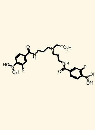 O=C(O)CN(CCCNC(=O)c1ccc(B(O)O)c(F)c1)CCCNC(=O)c1ccc(B(O)O)c(F)c1